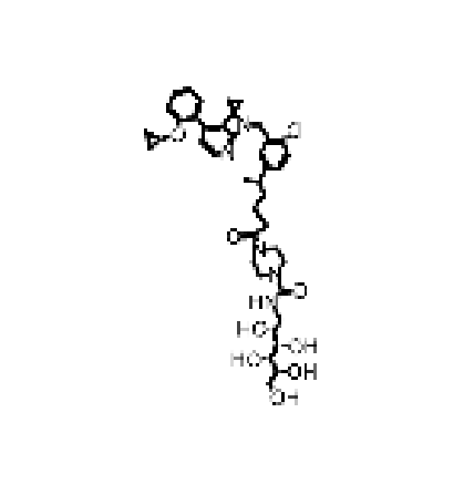 CC(CCCC(=O)N1CCN(C(=O)NC[C@H](O)[C@@H](O)[C@H](O)[C@H](O)CO)CC1)c1ccc(Cl)c(CN2c3nccc(-c4ccccc4OC4CC4)c3C23CC3)c1